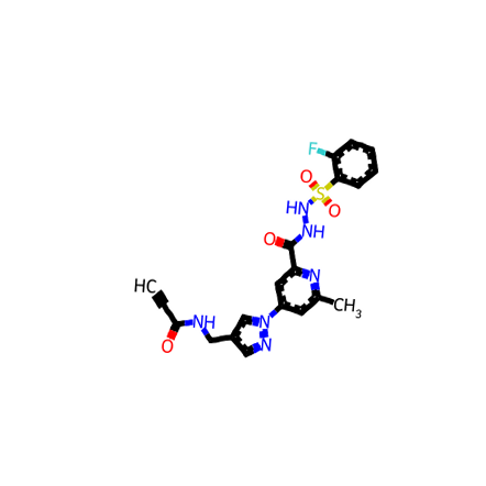 C#CC(=O)NCc1cnn(-c2cc(C)nc(C(=O)NNS(=O)(=O)c3ccccc3F)c2)c1